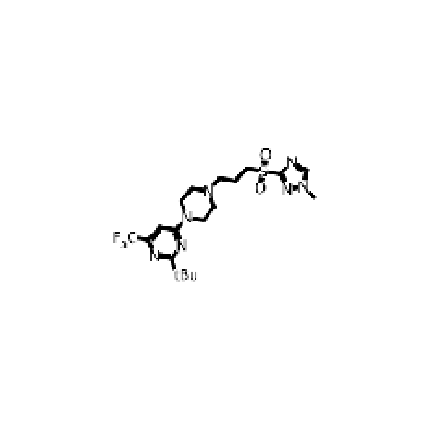 Cn1cnc(S(=O)(=O)CCCN2CCN(c3cc(C(F)(F)F)nc(C(C)(C)C)n3)CC2)n1